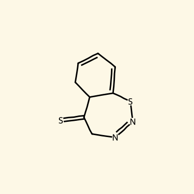 S=C1CN=NSC2=CC=CCC12